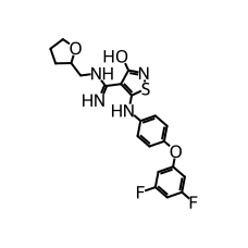 N=C(NCC1CCCO1)c1c(O)nsc1Nc1ccc(Oc2cc(F)cc(F)c2)cc1